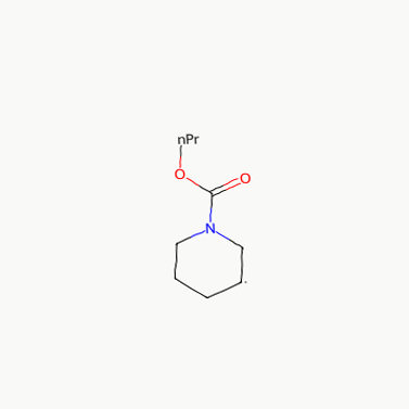 CCCOC(=O)N1C[CH]CCC1